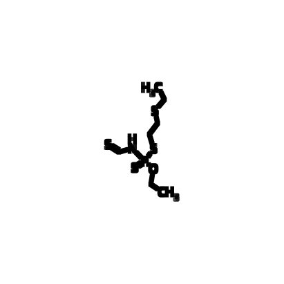 CCOP(=S)(NC=S)SCCSCC